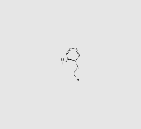 CC(=O)O.CC(C)CSc1cccnc1